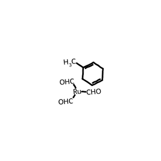 CC1=CCC=CC1.O=[CH][Ru]([CH]=O)[CH]=O